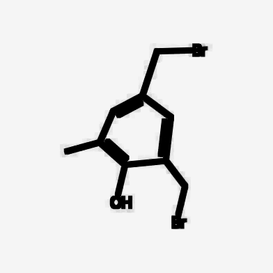 Cc1cc(CBr)cc(CBr)c1O